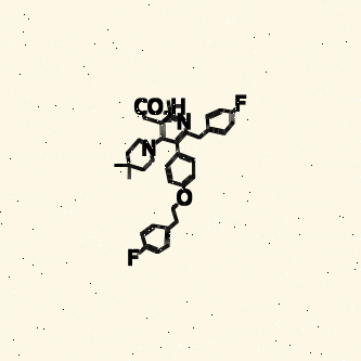 Cc1nc(Cc2ccc(F)cc2)c(-c2ccc(OCCc3ccc(F)cc3)cc2)c(N2CCC(C)(C)CC2)c1CC(=O)O